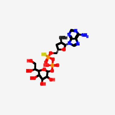 CO[C@@H]1C[C@@H](COP(=O)(S)OP(=O)(O)OC2OC([C@@H](O)CO)C(O)C(O)C2O)O[C@H]1n1cnc2c(N)ncnc21